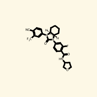 N#Cc1ccc(N2C(=O)N(c3ccc(C(=O)NC4CCOC4)c(F)c3)[C@H]3CCCC[C@@H]32)cc1C(F)(F)F